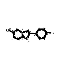 Fc1ccc(-c2cn3cc(Cl)ccc3n2)cc1